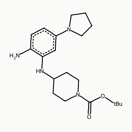 CC(C)(C)OC(=O)N1CCC(Nc2cc(N3CCCC3)ccc2N)CC1